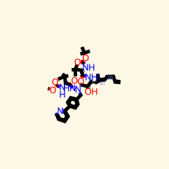 C=C/C=C\C=C(/C)C[C@H](NC(=O)[C@@H](NC(=O)OC(C)(C)C)C(C)(C)C)[C@@H](O)CN(Cc1ccc(-c2ccccn2)cc1)NC(=O)[C@@H](NC(=O)OC)C(C)(C)C